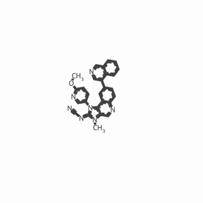 COc1ccc(-n2/c(=N\C#N)n(C)c3cnc4ccc(-c5cncc6ccccc56)cc4c32)cn1